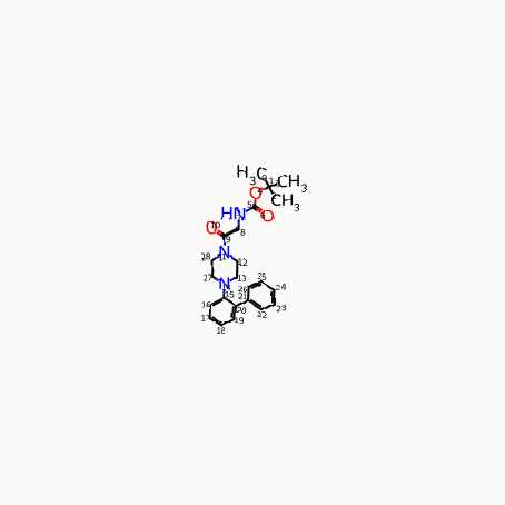 CC(C)(C)OC(=O)NCC(=O)N1CCN(c2ccccc2-c2ccccc2)CC1